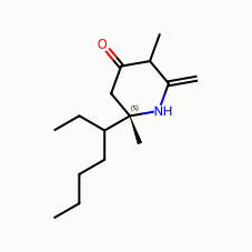 C=C1N[C@](C)(C(CC)CCCC)CC(=O)C1C